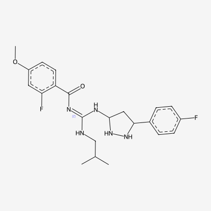 COc1ccc(C(=O)/N=C(/NCC(C)C)NC2CC(c3ccc(F)cc3)NN2)c(F)c1